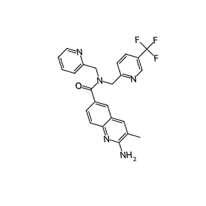 Cc1cc2cc(C(=O)N(Cc3ccccn3)Cc3ccc(C(F)(F)F)cn3)ccc2nc1N